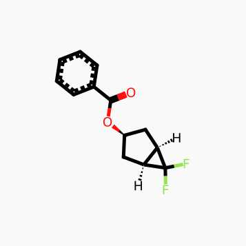 O=C(O[C@H]1C[C@@H]2[C@H](C1)C2(F)F)c1ccccc1